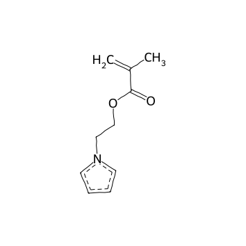 C=C(C)C(=O)OCCn1cccc1